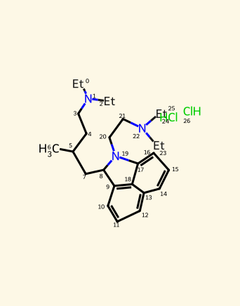 CCN(CC)CCC(C)CC1c2cccc3cccc(c23)N1CCN(CC)CC.Cl.Cl